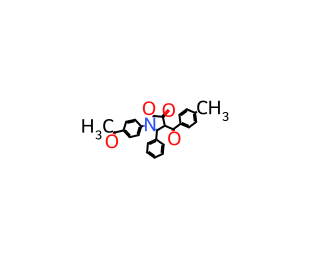 CC(=O)c1ccc(N2C(=O)C(=O)C(C(=O)c3ccc(C)cc3)C2c2ccccc2)cc1